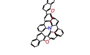 c1ccc(-c2ccccc2N(c2ccccc2-c2ccc3oc4c5ccccc5ccc4c3c2)c2cccc3oc4c5ccccc5ccc4c23)cc1